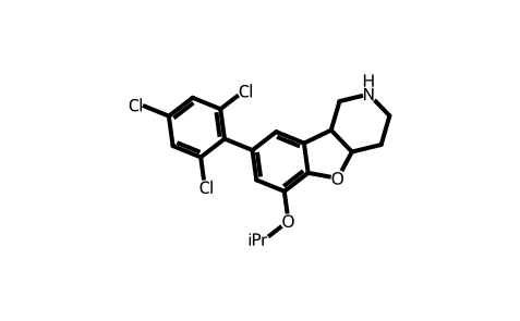 CC(C)Oc1cc(-c2c(Cl)cc(Cl)cc2Cl)cc2c1OC1CCNCC21